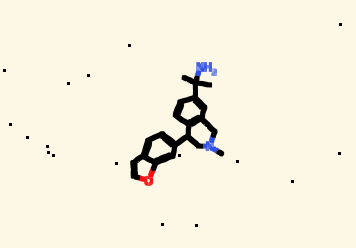 CN1Cc2cc(C(C)(C)N)ccc2C(c2ccc3ccoc3c2)C1